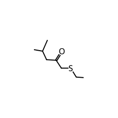 CCSCC(=O)CC(C)C